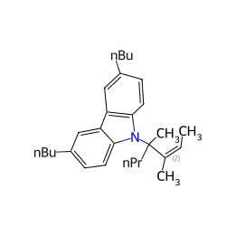 C/C=C(/C)C(C)(CCC)n1c2ccc(CCCC)cc2c2cc(CCCC)ccc21